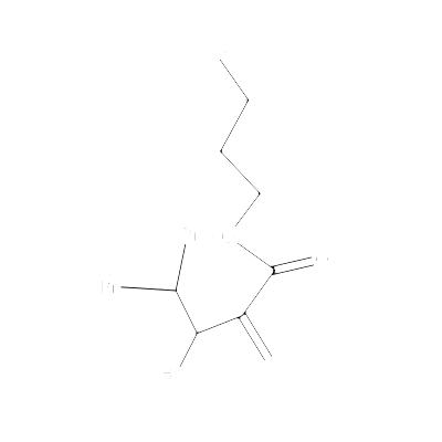 C=C(C(=O)OCCCC)C(Br)C(Br)Br